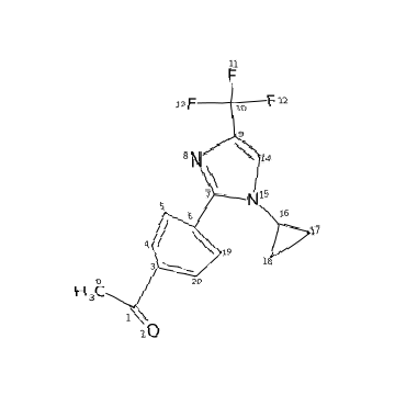 CC(=O)c1ccc(-c2nc(C(F)(F)F)cn2C2CC2)cc1